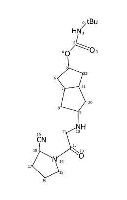 CC(C)(C)NC(=O)OC1CC2CC(NCC(=O)N3CCCC3C#N)CC2C1